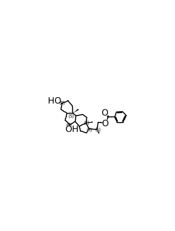 C[C@H](COC(=O)c1ccccc1)[C@H]1CCC2C3C(CC[C@@]21C)[C@@]1(C)CC[C@@H](O)CC1C[C@H]3O